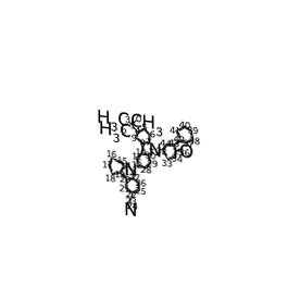 CC(C)(C)c1ccc2c(c1)c1cc(-n3c4ccccc4c4cc(C#N)ccc43)ccc1n2-c1ccc2oc3ccccc3c2c1